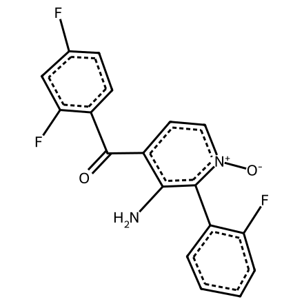 Nc1c(C(=O)c2ccc(F)cc2F)cc[n+]([O-])c1-c1ccccc1F